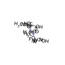 C/C(=C\c1cc(F)c2nnn(C3CCN(CO)CC3)c2c1)[C@H]1OC(=O)C[C@H](O)CC[C@H](C)[C@@H](OC(=O)N2CCN(C)CC2)/C=C/[C@@H]1C